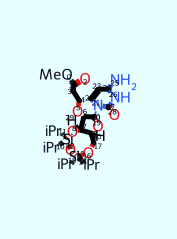 COC(=O)CCOC1[C@H]2O[Si](C(C)C)(C(C)C)O[Si](C(C)C)(C(C)C)OC[C@H]2O[C@H]1N1C=CC(N)NC1=O